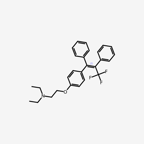 CCN(CC)CCOc1ccc(/C(=C(/c2ccccc2)C(F)(F)F)c2ccccc2)cc1